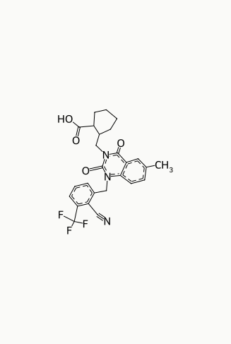 Cc1ccc2c(c1)c(=O)n(CC1CCCCC1C(=O)O)c(=O)n2Cc1cccc(C(F)(F)F)c1C#N